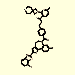 Cc1ccc(C(=O)CCc2ccc(C(=O)N3CCc4cc(-c5nc6cccc(Cl)c6[nH]5)sc4-c4ccc(F)cc43)cc2)c(N2CC3(CCOCC3)C2)n1